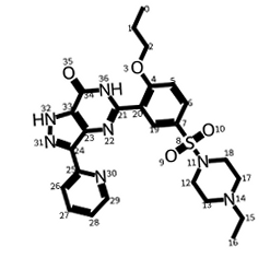 CCCOc1ccc(S(=O)(=O)N2CCN(CC)CC2)cc1-c1nc2c(-c3ccccn3)n[nH]c2c(=O)[nH]1